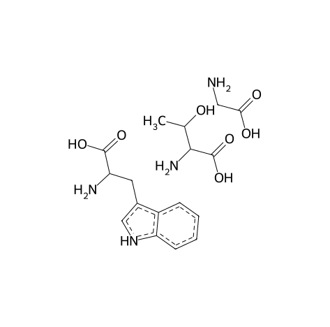 CC(O)C(N)C(=O)O.NC(Cc1c[nH]c2ccccc12)C(=O)O.NCC(=O)O